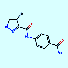 CCc1c[nH]nc1C(=O)Nc1ccc(C(N)=O)cc1